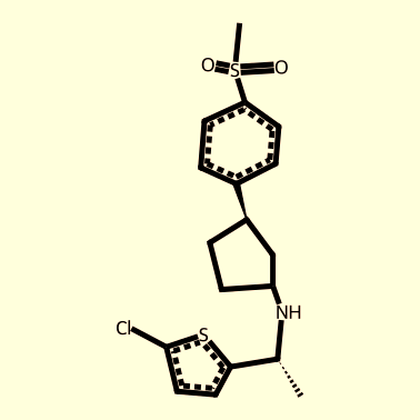 C[C@@H](NC1CC[C@@H](c2ccc(S(C)(=O)=O)cc2)C1)c1ccc(Cl)s1